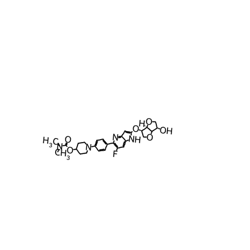 CN(C)C(=O)OC1CCN(c2ccc(-c3nc4cc(O[C@@H]5COC6[C@H](O)CO[C@@H]65)[nH]c4cc3F)cc2)CC1